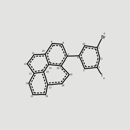 Brc1cc(I)cc(-c2ccc3ccc4cccc5ccc2c3c45)c1